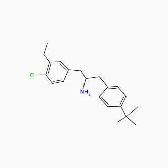 CCc1cc(CC(N)Cc2ccc(C(C)(C)C)cc2)ccc1Cl